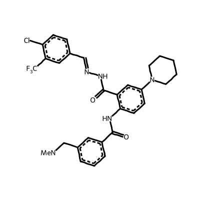 CNCc1cccc(C(=O)Nc2ccc(N3CCCCC3)cc2C(=O)NN=Cc2ccc(Cl)c(C(F)(F)F)c2)c1